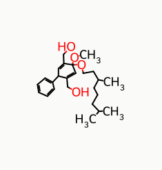 COC1(OCCC(C)CCCC(C)C)C=C(CO)C(c2ccccc2)C=C1CO